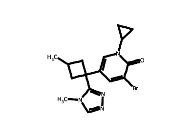 CC1CC(c2cc(Br)c(=O)n(C3CC3)c2)(c2nncn2C)C1